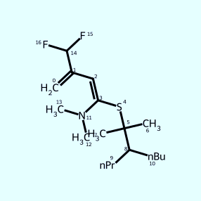 C=C(/C=C(/SC(C)(C)C(CCC)CCCC)N(C)C)C(F)F